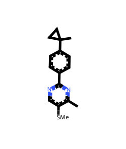 CSc1cnc(-c2ccc(C3(C)CC3)cc2)nc1C